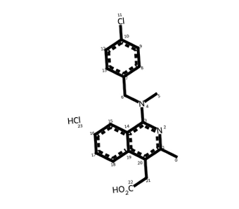 Cc1nc(N(C)Cc2ccc(Cl)cc2)c2ccccc2c1CC(=O)O.Cl